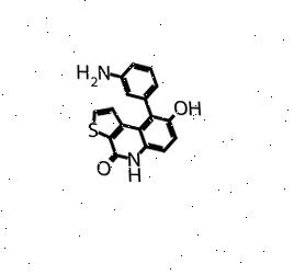 Nc1cccc(-c2c(O)ccc3[nH]c(=O)c4sccc4c23)c1